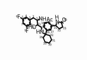 CC(=O)NC(Cc1cc(F)cc(F)c1)C(O)CNC1(c2cccc(C3CCC(=O)N3)c2)CCCCC1